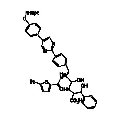 CCCCCCCOc1ccc(-c2cnc(-c3ccc(C[C@H](NC(=O)c4ccc(CC)s4)C(O)NC(C(=O)O)C(O)c4ccccc4)cc3)nc2)cc1